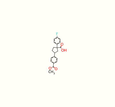 COC(=O)c1ccc(C2CCC(C(=O)O)(c3ccc(F)cc3)C2)cc1